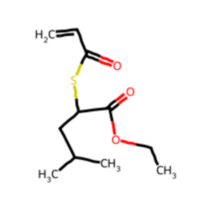 C=CC(=O)SC(CC(C)C)C(=O)OCC